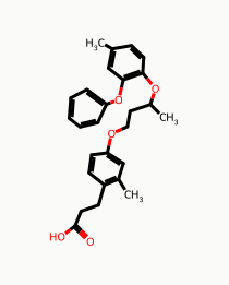 Cc1ccc(OC(C)CCOc2ccc(CCC(=O)O)c(C)c2)c(Oc2ccccc2)c1